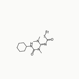 CCSC(=O)N=C(N(C)C)N(C)C(=O)NC1CCCCC1